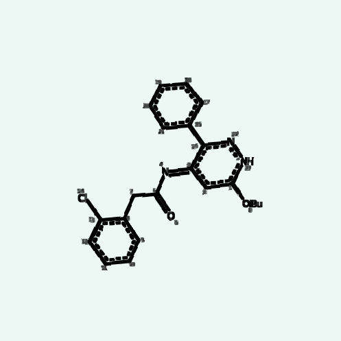 CC(C)COc1cc(=NC(=O)Cc2ccccc2Cl)c(-c2ccccc2)n[nH]1